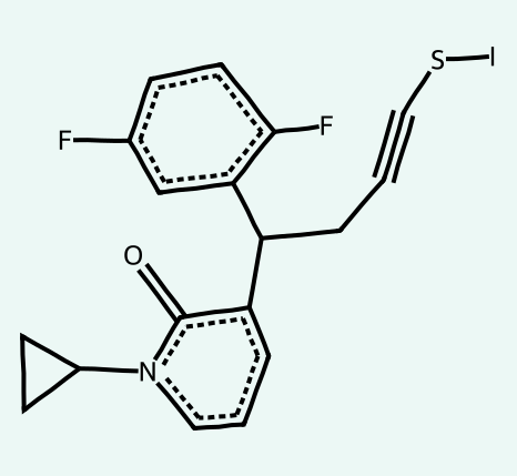 O=c1c(C(CC#CSI)c2cc(F)ccc2F)cccn1C1CC1